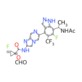 CC(=O)NC(C)c1c(F)c(C(F)(F)F)c(-c2cn3cc(NC(=O)[C@@]4(OC=O)C[C@@H]4F)nc3cn2)c2cn[nH]c12